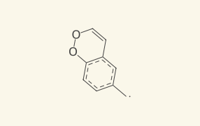 [CH2]c1ccc2c(c1)C=COO2